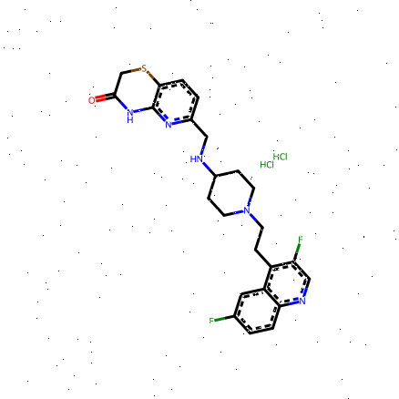 Cl.Cl.O=C1CSc2ccc(CNC3CCN(CCc4c(F)cnc5ccc(F)cc45)CC3)nc2N1